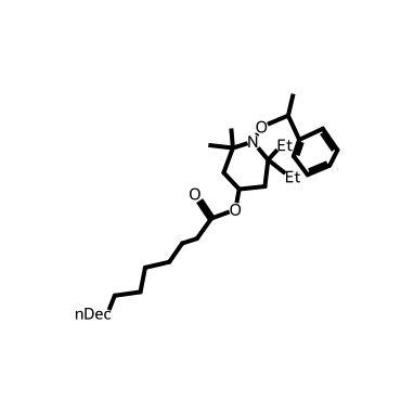 CCCCCCCCCCCCCCCCC(=O)OC1CC(C)(C)N(OC(C)c2ccccc2)C(CC)(CC)C1